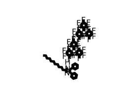 CCCCCCCCCCCc1nc(-c2ccccc2)c(-c2ccccc2)[nH]1.Fc1c(F)c(F)c(B(c2c(F)c(F)c(F)c(F)c2F)c2c(F)c(F)c(F)c(F)c2F)c(F)c1F.Fc1c(F)c(F)c(B(c2c(F)c(F)c(F)c(F)c2F)c2c(F)c(F)c(F)c(F)c2F)c(F)c1F